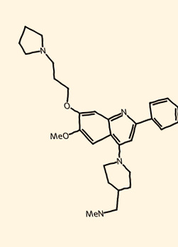 CNCC1CCN(c2cc(-c3ccccc3)nc3cc(OCCCN4CCCC4)c(OC)cc23)CC1